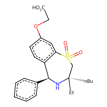 CCCC[C@@]1(CC)CS(=O)(=O)c2cc(OCC(=O)O)ccc2[C@H](c2ccccc2)N1